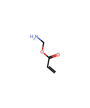 C=CC(=O)OCN